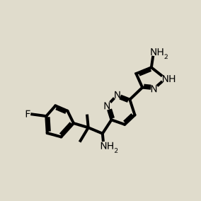 CC(C)(c1ccc(F)cc1)C(N)c1ccc(-c2cc(N)[nH]n2)nn1